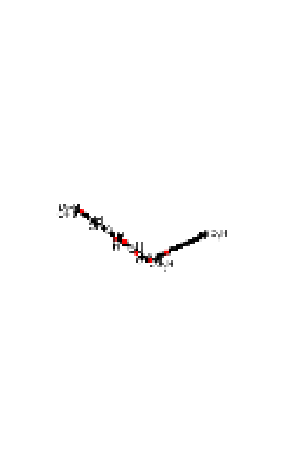 CN[C@H](C=O)CCCCNC(=O)COCCOCCNC(=O)COCCOCCNC(=O)CCC(NC(=O)CCCCCCCCCCCCCCCCC(=O)O)C(=O)O